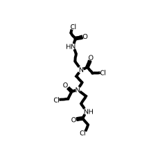 O=C(CCl)NCCN(CCN(CCNC(=O)CCl)C(=O)CCl)C(=O)CCl